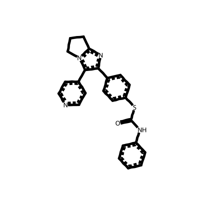 O=C(Nc1ccccc1)Sc1ccc(-c2nc3n(c2-c2ccncc2)CCC3)cc1